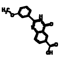 COc1cccc(-c2nc3ccc(C(=O)O)cc3c(=O)[nH]2)c1